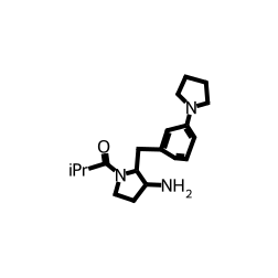 CC(C)C(=O)N1CCC(N)C1Cc1cccc(N2CCCC2)c1